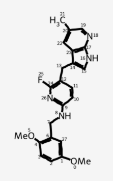 COc1ccc(OC)c(CNc2ccc(Cc3c[nH]c4ncc(C)cc34)c(F)n2)c1